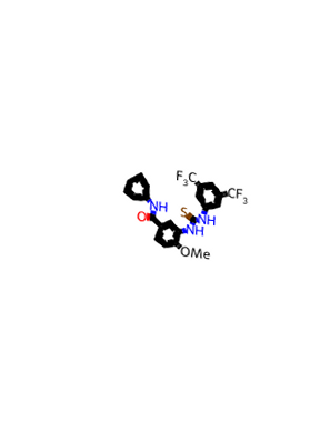 COc1ccc(C(=O)Nc2ccccc2)cc1NC(=S)Nc1cc(C(F)(F)F)cc(C(F)(F)F)c1